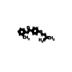 Cc1ccccc1CC(=O)c1ccc(OCCN(C)C)cc1